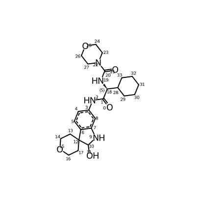 O=C(Nc1ccc2c(c1)NC(O)C21CCOCC1)[C@@H](NC(=O)N1CCOCC1)C1CCCCC1